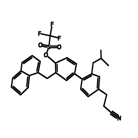 CC(C)Cc1cc(CCC#N)ccc1-c1ccc(OS(=O)(=O)C(F)(F)F)c(Cc2cccc3ccccc23)c1